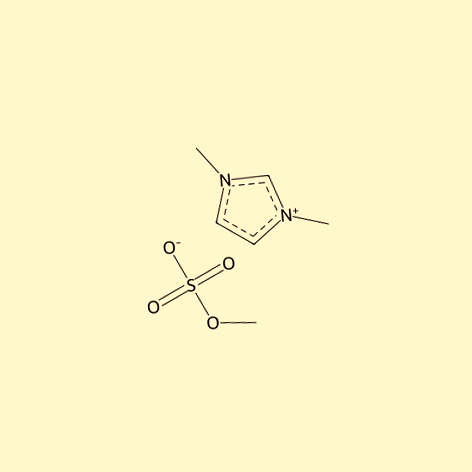 COS(=O)(=O)[O-].Cn1cc[n+](C)c1